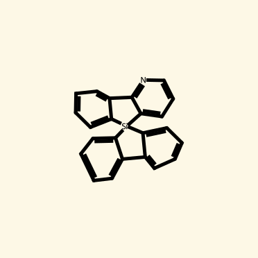 c1ccc2c(c1)-c1ccccc1[Si]21c2ccccc2-c2ncccc21